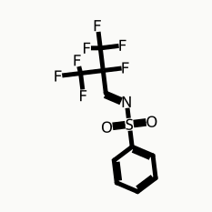 O=S(=O)(N=CC(F)(C(F)(F)F)C(F)(F)F)c1ccccc1